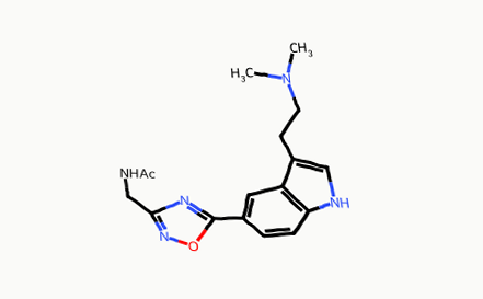 CC(=O)NCc1noc(-c2ccc3[nH]cc(CCN(C)C)c3c2)n1